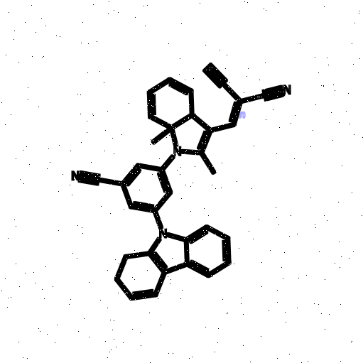 C#C/C(C#N)=C\C1=C(C)N(c2cc(C#N)cc(-n3c4c(c5ccccc53)C=CCC4)c2)C2(C)C=CC=CC12